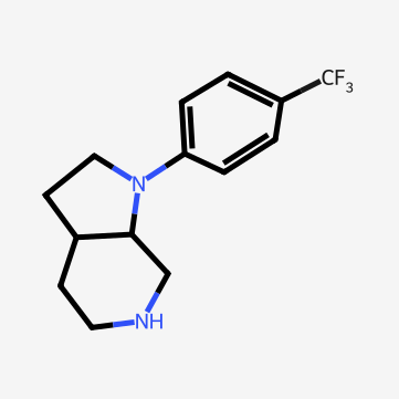 FC(F)(F)c1ccc(N2CCC3CCNCC32)cc1